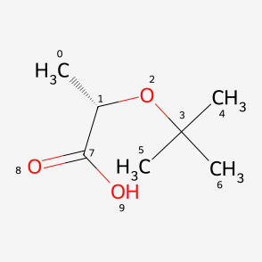 C[C@H](OC(C)(C)C)C(=O)O